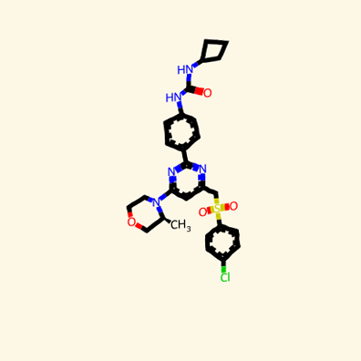 C[C@H]1COCCN1c1cc(CS(=O)(=O)c2ccc(Cl)cc2)nc(-c2ccc(NC(=O)NC3CCC3)cc2)n1